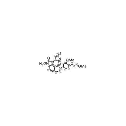 CCn1cc(-n2c(=O)n(C)c3cnc4ccc(-c5ccc(OCCOC)c(OC)c5)cc4c32)c(C)n1